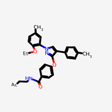 CCOc1ccc(C)cc1-n1cc(-c2ccc(C)cc2)c(Oc2ccc(C(=O)NCCC(C)=O)cc2)n1